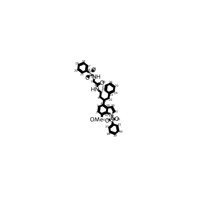 COc1ccc(C(CCNC(=O)CNS(=O)(=O)c2ccccc2)Cc2ccccc2)c2ccn(S(=O)(=O)c3ccccc3)c12